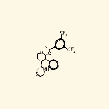 C[C@@H](O[C@H]1OCC[C@@H]([C@H]2CSCCN2)[C@@H]1c1ccccc1)c1cc(C(F)(F)F)cc(C(F)(F)F)c1